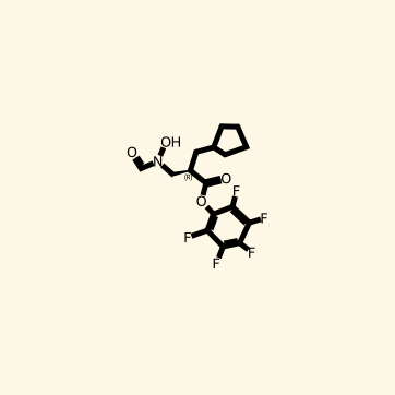 O=CN(O)C[C@@H](CC1CCCC1)C(=O)Oc1c(F)c(F)c(F)c(F)c1F